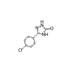 O=c1[nH]nc(-c2ccc(Cl)cc2)[nH]1